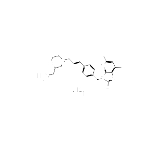 CCc1nc2c(C)cc(C)nc2n1Cc1ccc(/C=C/CN2CCOC(CN)C2)cc1.Cl.Cl